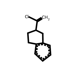 C=C(Cl)C1CCc2ccccc2C1